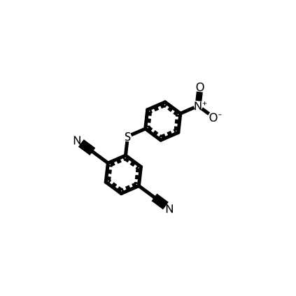 N#Cc1ccc(C#N)c(Sc2ccc([N+](=O)[O-])cc2)c1